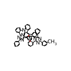 Cc1cccc(-c2nc(-c3ccccc3)nc(-c3ccccc3-n3c4ccccc4c4c5c6ccccc6n(-c6ccccc6-c6nc(-c7ccccc7)nc(-c7ccccc7)n6)c5ccc43)n2)c1